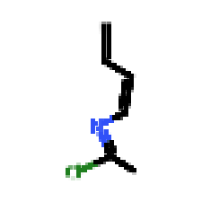 C=C/C=C\N=C(/C)Cl